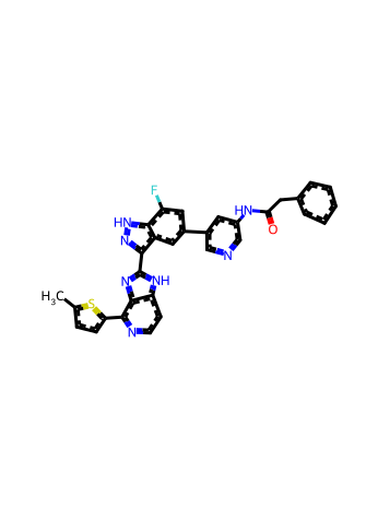 Cc1ccc(-c2nccc3[nH]c(-c4n[nH]c5c(F)cc(-c6cncc(NC(=O)Cc7ccccc7)c6)cc45)nc23)s1